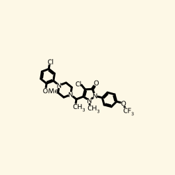 COc1ccc(Cl)cc1N1CCN(C(C)c2c(Cl)c(=O)n(-c3ccc(OC(F)(F)F)cc3)n2C)CC1